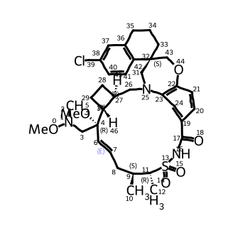 CON(C)C[C@]1(OC)/C=C/C[C@H](C)[C@@H](C)S(=O)(=O)NC(=O)c2ccc3c(c2)N(C[C@@H]2CC[C@H]21)C[C@@]1(CCCc2cc(Cl)ccc21)CO3